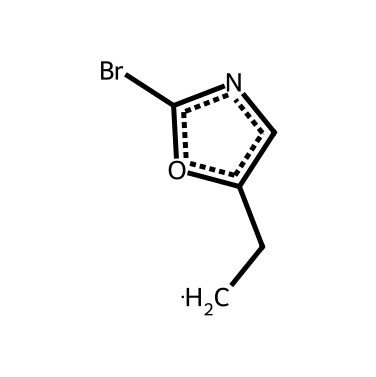 [CH2]Cc1cnc(Br)o1